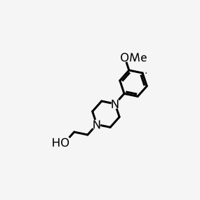 COc1[c]ccc(N2CCN(CCO)CC2)c1